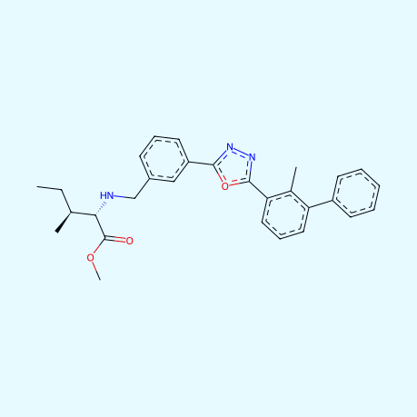 CC[C@H](C)[C@H](NCc1cccc(-c2nnc(-c3cccc(-c4ccccc4)c3C)o2)c1)C(=O)OC